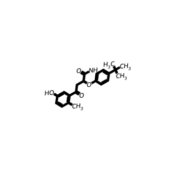 Cc1ccc(O)cc1C(=O)CC(Oc1ccc(C(C)(C)C)cc1)C(N)=O